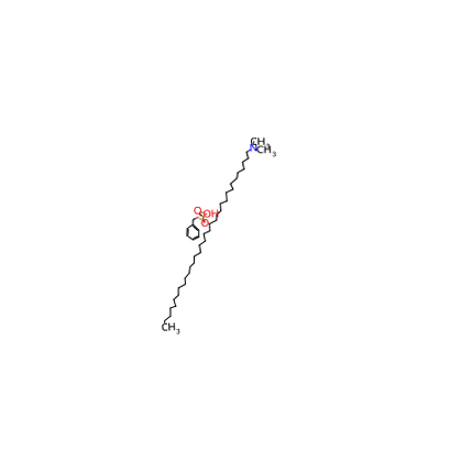 CCCCCCCCCCCCCCCCCCCCCCCCCCCCCCCCCCN(C)C.O=S(=O)(O)Cc1ccccc1